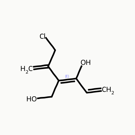 C=C/C(O)=C(\CO)C(=C)CCl